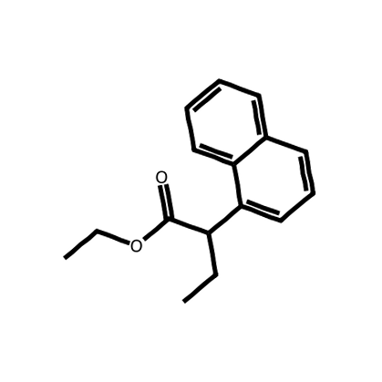 CCOC(=O)C(CC)c1cccc2ccccc12